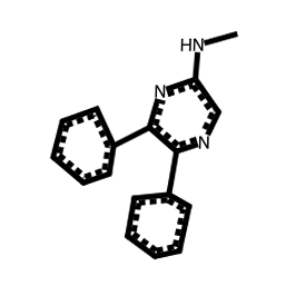 CNc1cnc(-c2ccccc2)c(-c2ccccc2)n1